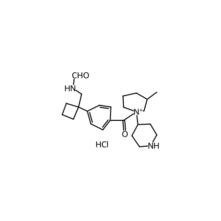 CC1CCC[N+](C(=O)c2ccc(C3(CNC=O)CCC3)cc2)(C2CCNCC2)C1.Cl